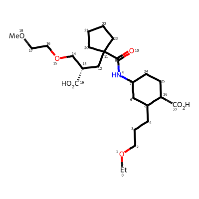 CCOCCCC1CC(NC(=O)C2(C[C@@H](COCCOC)C(=O)O)CCCC2)CCC1C(=O)O